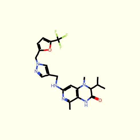 Cc1nc(NCc2cnn(Cc3ccc(C(F)(F)F)o3)c2)cc2c1NC(=O)C(C(C)C)N2C